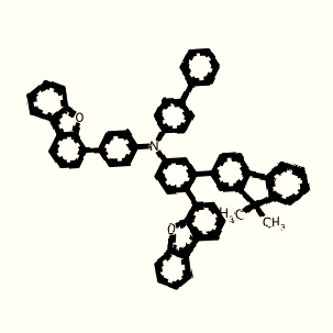 CC1(C)c2ccccc2-c2ccc(-c3cc(N(c4ccc(-c5ccccc5)cc4)c4ccc(-c5cccc6c5oc5ccccc56)cc4)ccc3-c3cccc4c3oc3ccccc34)cc21